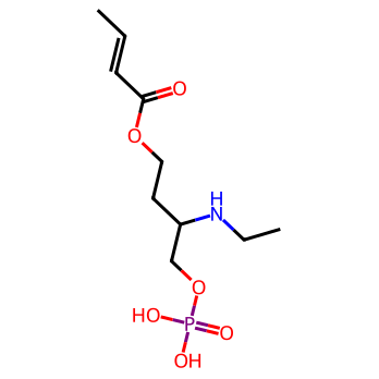 CC=CC(=O)OCCC(COP(=O)(O)O)NCC